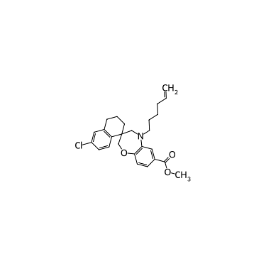 C=CCCCCN1CC2(CCCc3cc(Cl)ccc32)COc2ccc(C(=O)OC)cc21